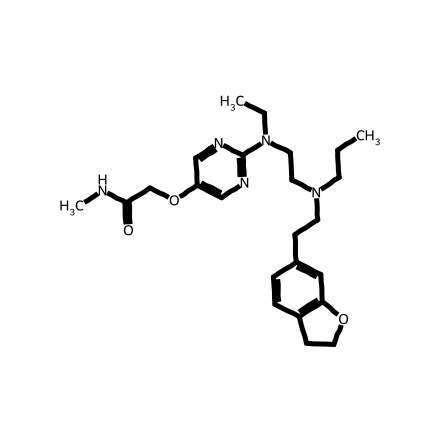 CCCN(CCc1ccc2c(c1)OCC2)CCN(CC)c1ncc(OCC(=O)NC)cn1